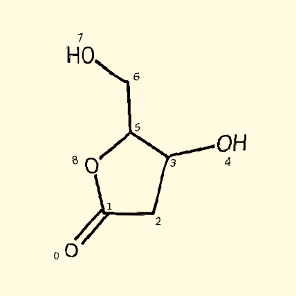 O=C1CC(O)C(CO)O1